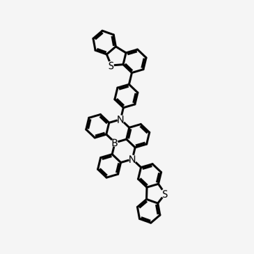 c1ccc2c(c1)B1c3ccccc3N(c3ccc4sc5ccccc5c4c3)c3cccc(c31)N2c1ccc(-c2cccc3c2sc2ccccc23)cc1